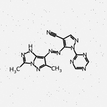 Cc1nn2c(C)n[nH]c2c1/N=N/c1c(C#N)cnn1-c1ncncn1